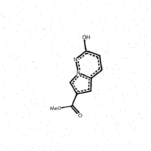 COC(=O)c1cc2ccc(O)nn2c1